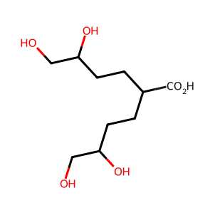 O=C(O)C(CCC(O)CO)CCC(O)CO